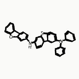 c1ccc(N(c2ccccc2)c2ccc3sc4cc(Nc5ccc6c(c5)oc5ccccc56)ccc4c3c2)cc1